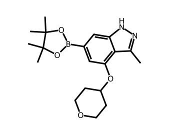 Cc1n[nH]c2cc(B3OC(C)(C)C(C)(C)O3)cc(OC3CCOCC3)c12